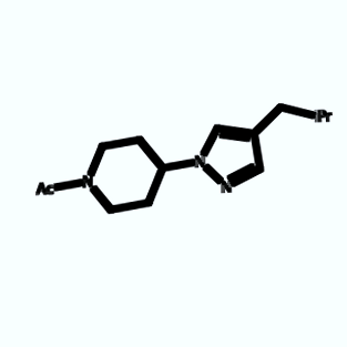 CC(=O)N1CCC(n2cc(CC(C)C)cn2)CC1